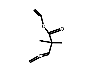 C=C=CC(C)(C)C(=O)OC=C